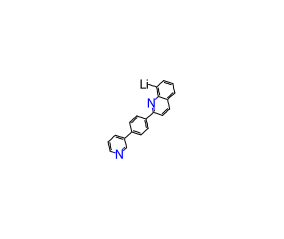 [Li][c]1cccc2ccc(-c3ccc(-c4cccnc4)cc3)nc12